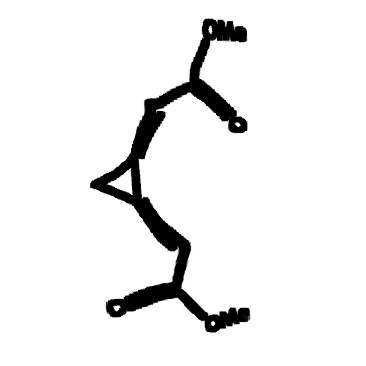 COC(=O)/C=C1/C/C1=C\C(=O)OC